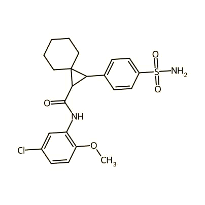 COc1ccc(Cl)cc1NC(=O)C1C(c2ccc(S(N)(=O)=O)cc2)C12CCCCC2